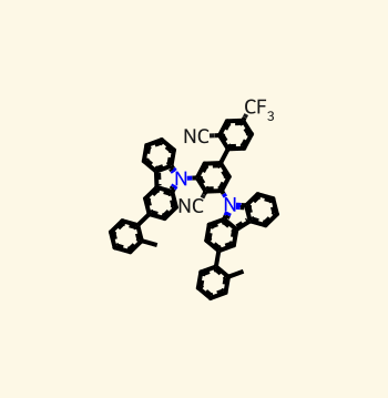 Cc1ccccc1-c1ccc2c(c1)c1ccccc1n2-c1cc(-c2ccc(C(F)(F)F)cc2C#N)cc(-n2c3ccccc3c3cc(-c4ccccc4C)ccc32)c1C#N